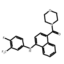 O=C(c1ccc(Nc2ccc(F)c(C(F)(F)F)c2)c2ccccc12)N1CCOCC1